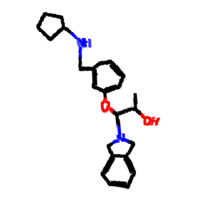 CC(O)C(Oc1cccc(CNC2CCCC2)c1)N1Cc2ccccc2C1